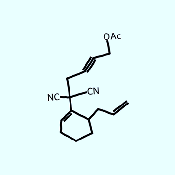 C=CCC1CCCC=C1C(C#N)(C#N)CC#CCOC(C)=O